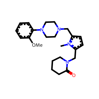 COc1ccccc1N1CCN(Cc2ccc(CN3CCCCC3=O)n2C)CC1